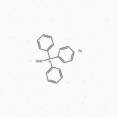 O=C[PH](c1ccccc1)(c1ccccc1)c1ccccc1.[Fe]